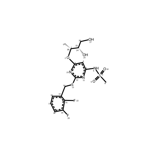 C[C@@H](Oc1cc(NS(C)(=O)=O)nc(SCc2cccc(F)c2F)n1)[C@@H](O)CO